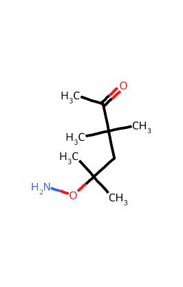 CC(=O)C(C)(C)CC(C)(C)ON